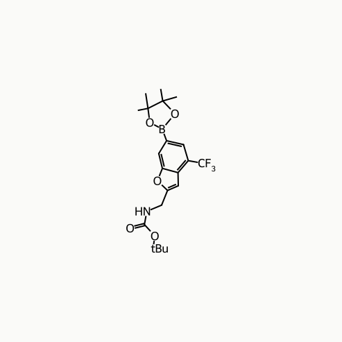 CC(C)(C)OC(=O)NCc1cc2c(C(F)(F)F)cc(B3OC(C)(C)C(C)(C)O3)cc2o1